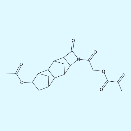 C=C(C)C(=O)OCC(=O)N1C(=O)C2C3CC(C4C5CC(OC(C)=O)C(C5)C34)C21